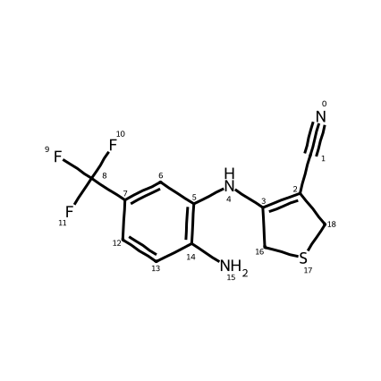 N#CC1=C(Nc2cc(C(F)(F)F)ccc2N)CSC1